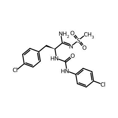 CS(=O)(=O)/N=C(\N)[C@H](Cc1ccc(Cl)cc1)NC(=O)Nc1ccc(Cl)cc1